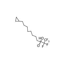 O=P(O)(CCCCCCCCC1CC1)C(F)(F)C(F)(F)F